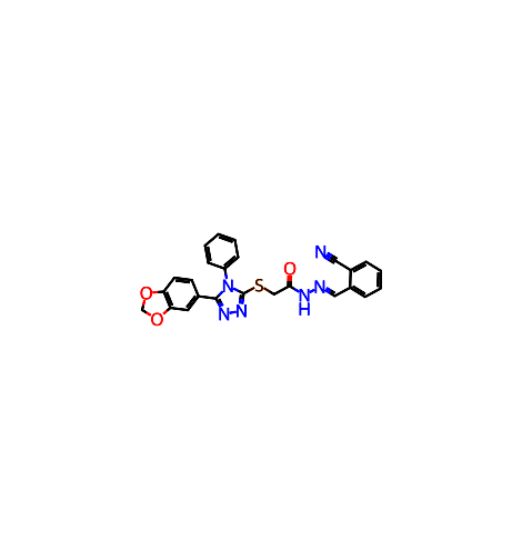 N#Cc1ccccc1C=NNC(=O)CSc1nnc(-c2ccc3c(c2)OCO3)n1-c1ccccc1